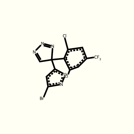 FC(F)(F)c1cc(Cl)c(C2(c3cc(Br)no3)C=NN=N2)c(Cl)c1